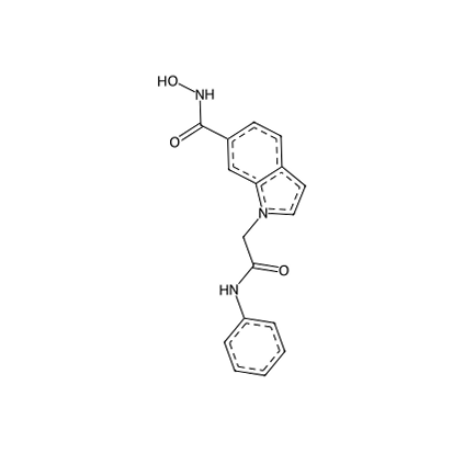 O=C(Cn1ccc2ccc(C(=O)NO)cc21)Nc1ccccc1